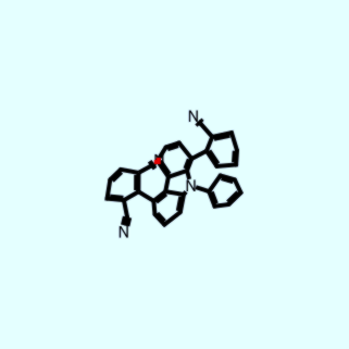 N#Cc1ccccc1-c1cccc2c3c(-c4c(C#N)cccc4C#N)cccc3n(-c3ccccc3)c12